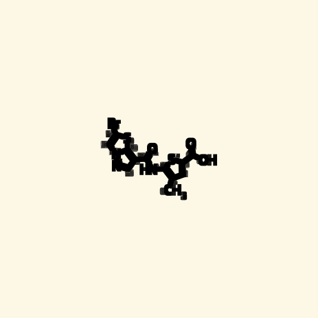 Cc1cc(C(=O)O)sc1NC(=O)c1cnn2cc(Br)sc12